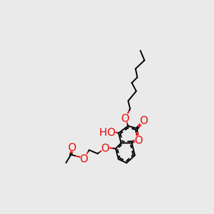 CCCCCCCCOc1c(O)c2c(OCCOC(C)=O)cccc2oc1=O